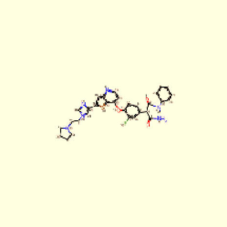 CN(C(=O)C(C(N)=O)c1ccc(Oc2ccnc3cc(-c4cn(CCN5CCCC5)cn4)sc23)c(F)c1)c1ccccc1